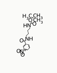 CC(C)(C)OC(=O)NCCCCNC(=O)c1cccc([N+](=O)[O-])c1